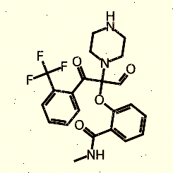 CNC(=O)c1ccccc1OC(C=O)(C(=O)c1ccccc1C(F)(F)F)N1CCNCC1